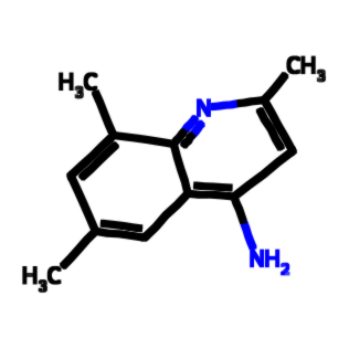 Cc1cc(C)c2nc(C)cc(N)c2c1